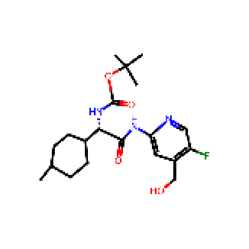 CC1CCC([C@H](NC(=O)OC(C)(C)C)C(=O)Nc2cc(CO)c(F)cn2)CC1